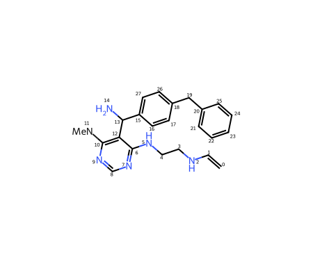 C=CNCCNc1ncnc(NC)c1C(N)c1ccc(Cc2ccccc2)cc1